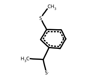 CSc1cccc(C(C)[S])c1